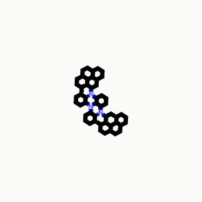 c1cc2ccc3ccc4c5cccc6c5-n(c5cc(c1)c2c3c45)c1cccc2c1n6c1cccc3c1-n2c1cc2cccc4ccc5ccc3c1c5c42